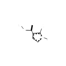 CCOC(=O)c1ccn(C)c1O